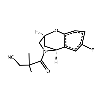 CC(C)(CC#N)C(=O)N1C[C@@H]2C[C@H]1c1cc(F)ccc1O2